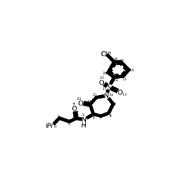 CC(C)CCC(=O)NC1CCCN(S(=O)(=O)c2cccc(Cl)c2)CC1=O